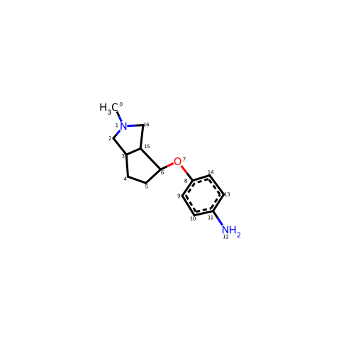 CN1CC2CCC(Oc3ccc(N)cc3)C2C1